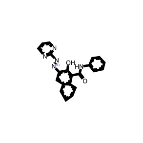 O=C(Nc1ccccc1)c1c(O)c(/N=N/c2ncccn2)cc2ccccc12